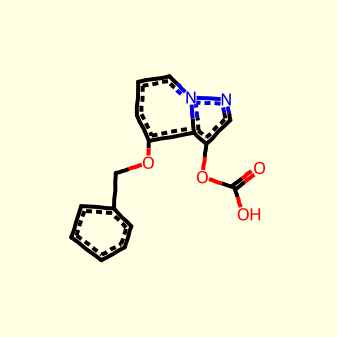 O=C(O)Oc1cnn2cccc(OCc3ccccc3)c12